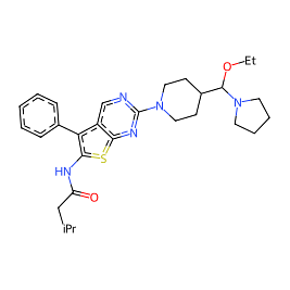 CCOC(C1CCN(c2ncc3c(-c4ccccc4)c(NC(=O)CC(C)C)sc3n2)CC1)N1CCCC1